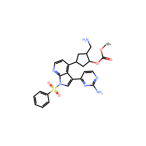 CC(C)(C)OC(=O)OC1CC(c2ccnc3c2c(-c2ccnc(N)n2)cn3S(=O)(=O)c2ccccc2)CC1CN